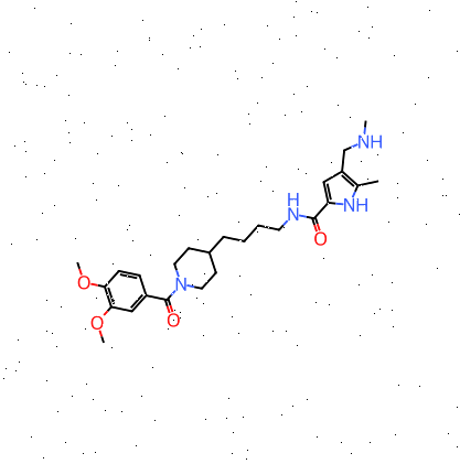 CNCc1cc(C(=O)NCCCCC2CCN(C(=O)c3ccc(OC)c(OC)c3)CC2)[nH]c1C